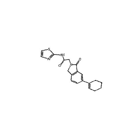 O=C(CN1Cc2ccc(C3=CCCCC3)cc2C1=O)Nc1nccs1